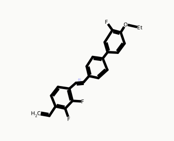 C=Cc1ccc(/C=C/c2ccc(-c3ccc(OCC)c(F)c3)cc2)c(F)c1F